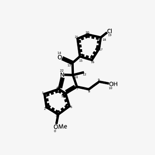 COc1ccc2c(c1)=C(CCO)C(C)(C(=O)c1ccc(Cl)cc1)N=2